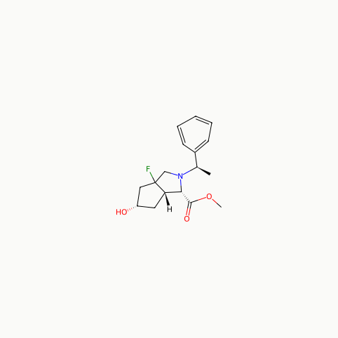 COC(=O)[C@@H]1[C@@H]2C[C@H](O)CC2(F)CN1[C@H](C)c1ccccc1